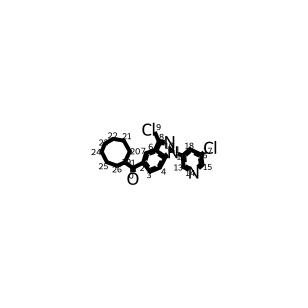 O=C(c1ccc2c(c1)c(Cl)nn2-c1cncc(Cl)c1)C1CCCCCCC1